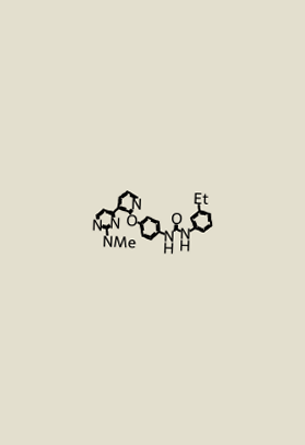 CCc1cccc(NC(=O)Nc2ccc(Oc3ncccc3-c3ccnc(NC)n3)cc2)c1